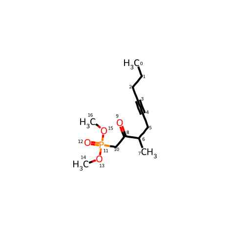 CCCC#CCC(C)C(=O)CP(=O)(OC)OC